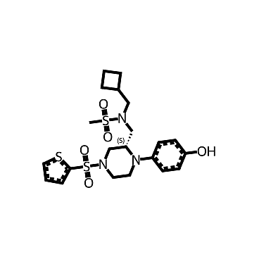 CS(=O)(=O)N(CC1CCC1)C[C@H]1CN(S(=O)(=O)c2cccs2)CCN1c1ccc(O)cc1